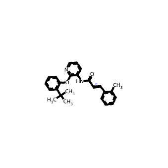 Cc1ccccc1/C=C/C(=O)Nc1cccnc1Oc1ccccc1C(C)(C)C